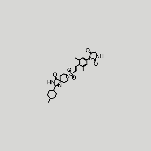 Cc1cc(N2C(=O)CNC2=O)cc(C)c1/C=C/S(=O)(=O)N1CCC2(CC1)N=C(C1CCC(C)CC1)NC2=O